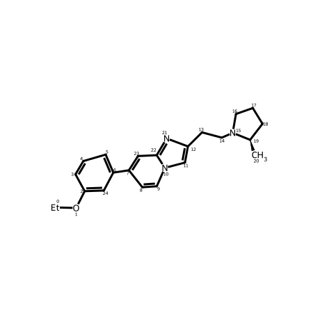 CCOc1cccc(-c2ccn3cc(CCN4CCC[C@H]4C)nc3c2)c1